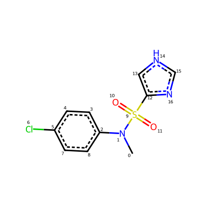 CN(c1ccc(Cl)cc1)S(=O)(=O)c1c[nH]cn1